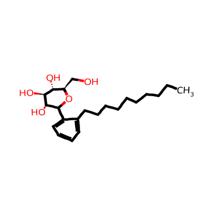 CCCCCCCCCCc1ccccc1[C]1O[C@H](CO)[C@@H](O)[C@H](O)[C@H]1O